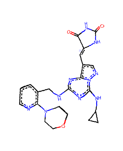 O=C1NC(=O)/C(=C/c2cnn3c(NC4CC4)nc(NCc4cccnc4N4CCOCC4)nc23)N1